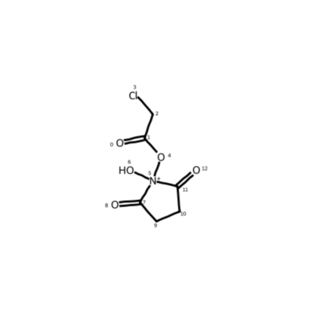 O=C(CCl)O[N+]1(O)C(=O)CCC1=O